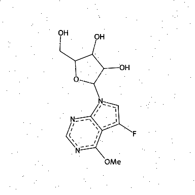 COc1ncnc2c1c(F)cn2C1OC(CO)C(O)C1O